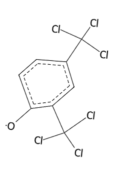 [O]c1ccc(C(Cl)(Cl)Cl)cc1C(Cl)(Cl)Cl